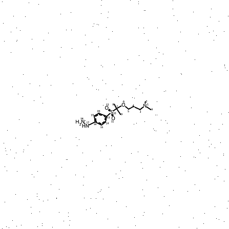 CN(C)CCCOC(C)(C)S(=O)(=O)c1ccc(NN)cc1